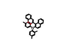 Cc1ccc(N(c2ccc(C)cc2C)c2ccc3ccccc3c2-c2ccc3ccccc3c2)cc1